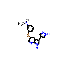 CN(C)c1cccc(Sc2cnc3[nH]cc(-c4cn[nH]c4)c3c2)c1